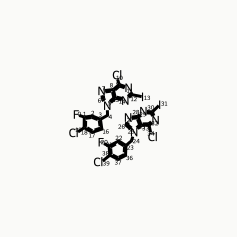 Fc1cc(Cn2cnc3c(Cl)nc(I)nc32)ccc1Cl.Fc1cc(Cn2cnc3nc(I)nc(Cl)c32)ccc1Cl